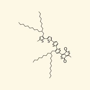 CCCCCCCCCCC(CCCCCCCC)Cc1cc(C)sc1-c1ccc(-c2ccc(-c3sc(C4=C5C(=O)SC(C)=C5C(=O)S4)cc3CC(CCCCCCCC)CCCCCCCCCC)s2)s1